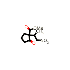 COC(=O)C1(C(C)C[N+](=O)[O-])CCCC1=O